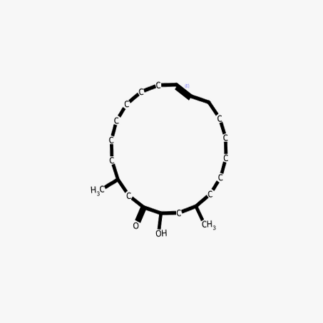 CC1CCCCCC/C=C/CCCCCCC(C)CC(O)C(=O)C1